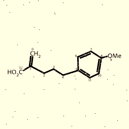 C=C(CCCc1ccc(OC)cc1)C(=O)O